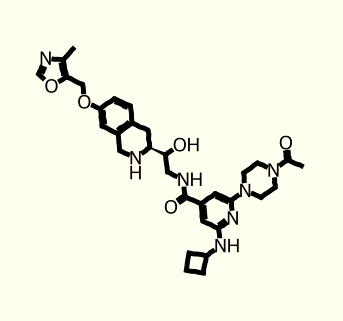 CC(=O)N1CCN(c2cc(C(=O)NCC(O)[C@@H]3Cc4ccc(OCc5ocnc5C)cc4CN3)cc(NC3CCC3)n2)CC1